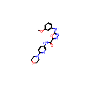 COc1cccc(Nc2nnc(C(=O)Nc3ccc(N4CCOCC4)nc3)o2)c1